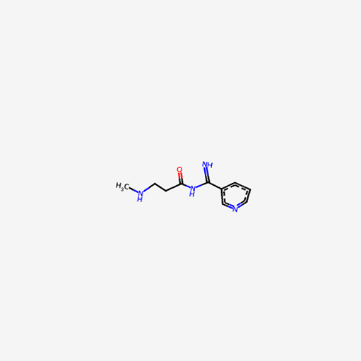 CNCCC(=O)NC(=N)c1cccnc1